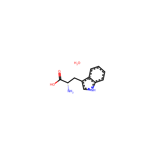 N[C@@H](Cc1c[nH]c2ccccc12)C(=O)O.O